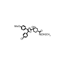 COc1ccc(-c2nc(C3(O)CCN(C(=O)N(C)O)CC3)oc2-c2ccc(Cl)cc2)cc1